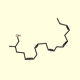 CC/C=C\C/C=C\C/C=C\C/C=C\C/C=C\CCC(C)CO